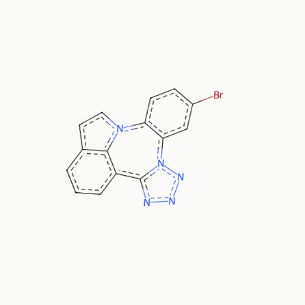 Brc1ccc2c(c1)n1nnnc1c1cccc3ccn2c31